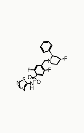 O=S(=O)(Nc1ncns1)c1cc(F)c(CN2CC[C@H](F)C[C@@H]2c2ccccc2)cc1F